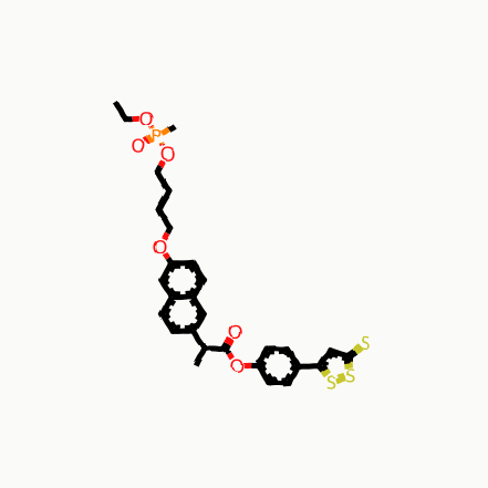 CCOP(C)(=O)OCCCCOc1ccc2cc(C(C)C(=O)Oc3ccc(-c4cc(=S)ss4)cc3)ccc2c1